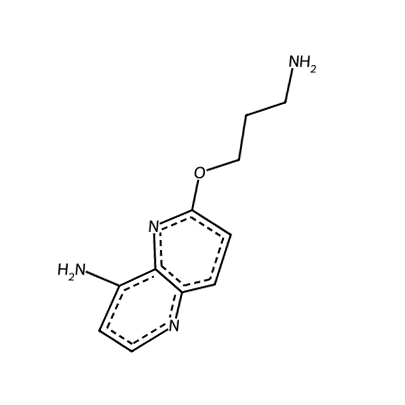 NCCCOc1ccc2nccc(N)c2n1